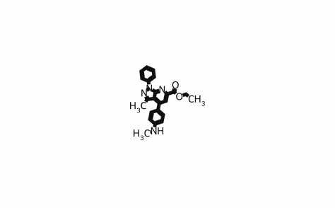 CCOC(=O)c1cc(-c2ccc(NC)cc2)c2c(C)nn(-c3ccccc3)c2n1